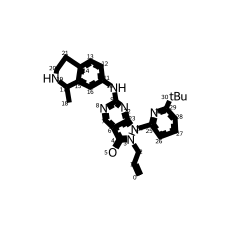 C=CCn1c(=O)c2cnc(Nc3ccc4c(c3)C(C)NCC4)nc2n1-c1cccc(C(C)(C)C)n1